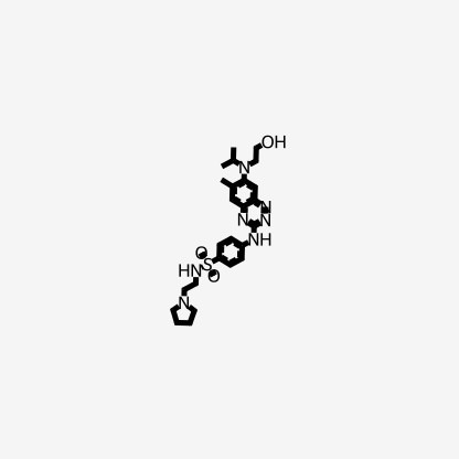 Cc1cc2nc(Nc3ccc(S(=O)(=O)NCCN4CCCC4)cc3)nnc2cc1N(CCO)C(C)C